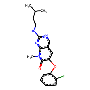 CC(C)CCNc1ncc2cc(Oc3ccccc3F)c(=O)n(C)c2n1